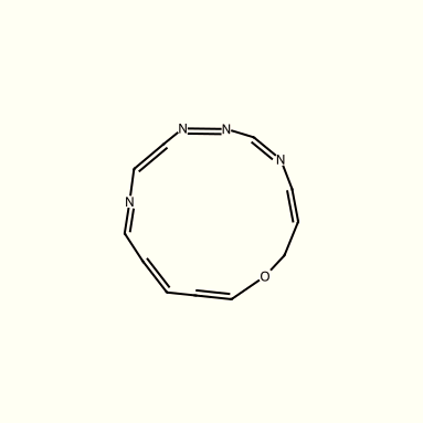 C1=CC=NC=CN=NC=NC=CCOC=C1